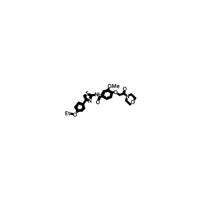 CCOc1ccc(-c2csc(NC(=O)c3ccc(OCC(=O)N4CCOCC4)c(OC)c3)n2)cc1